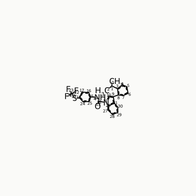 CC(C)c1ccccc1-c1cn(C(=O)Nc2ccc(SC(F)(F)F)cc2)c2ccccc12